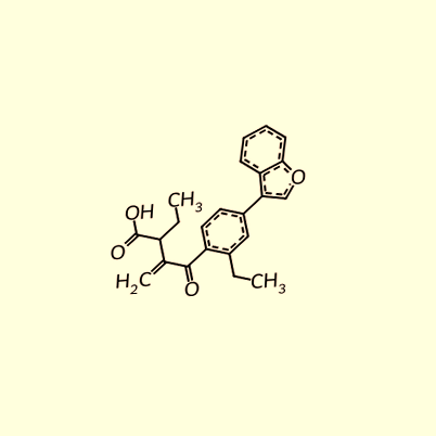 C=C(C(=O)c1ccc(-c2coc3ccccc23)cc1CC)C(CC)C(=O)O